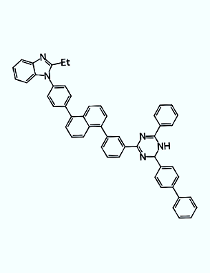 CCc1nc2ccccc2n1-c1ccc(-c2cccc3c(-c4cccc(C5=NC(c6ccc(-c7ccccc7)cc6)NC(c6ccccc6)=N5)c4)cccc23)cc1